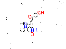 CCCCc1c(/C=C/C(=O)c2ccc(O)cc2)ccc2c1-c1[nH]c3ccccc3c1CC(=O)N2